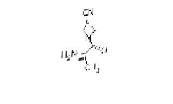 C[C@@H](N)C(=O)N1CC(C#N)C1